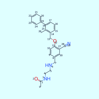 CC(=O)NCCNCc1ccc(OCc2cccc(-c3ccccc3)c2C)c(C#N)c1